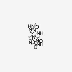 CC(=O)Nc1ncc(-c2ccc3ncc4c(=O)[nH]c(=O)n(C5CCNCC5)c4c3n2)cn1